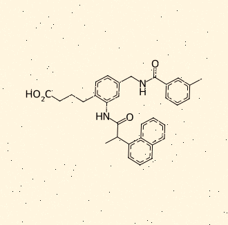 Cc1cccc(C(=O)NCc2ccc(CCCC(=O)O)c(NC(=O)C(C)c3cccc4ccccc34)c2)c1